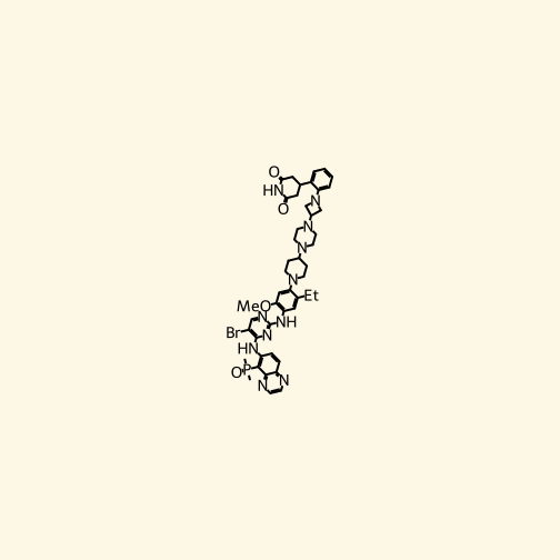 CCc1cc(Nc2ncc(Br)c(Nc3ccc4nccnc4c3P(C)(C)=O)n2)c(OC)cc1N1CCC(N2CCN(C3CN(c4ccccc4C4CC(=O)NC(=O)C4)C3)CC2)CC1